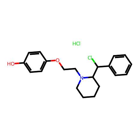 Cl.Oc1ccc(OCCN2CCCCC2C(Cl)c2ccccc2)cc1